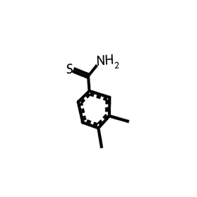 Cc1ccc(C(N)=S)cc1C